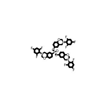 O=P(Oc1ccc2c(c1)CN(c1c(F)cc(F)cc1F)CO2)(Oc1ccc2c(c1)CN(c1c(F)cc(F)cc1F)CO2)c1ccc2c(c1)CN(c1c(F)cc(F)cc1F)CO2